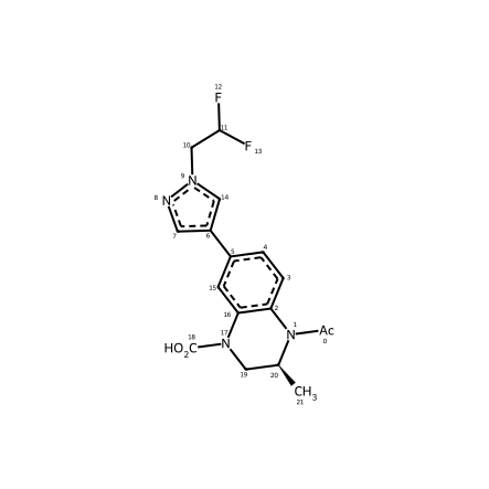 CC(=O)N1c2ccc(-c3cnn(CC(F)F)c3)cc2N(C(=O)O)C[C@@H]1C